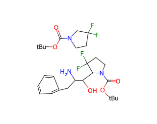 CC(C)(C)OC(=O)N1CCC(F)(F)C1.CC(C)(C)OC(=O)N1CCC(F)(F)C1C(O)C(N)Cc1ccccc1